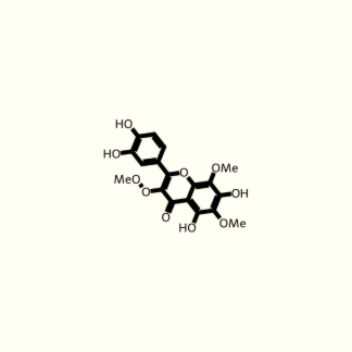 COOc1c(-c2ccc(O)c(O)c2)oc2c(OC)c(O)c(OC)c(O)c2c1=O